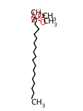 CCCCCCCCCCCCCCCCC[CH2][Zr]([O]C)([O]C)[O]C